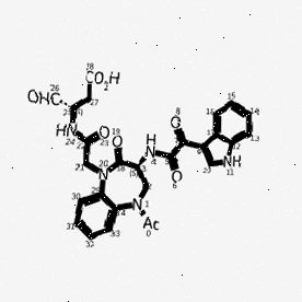 CC(=O)N1C[C@H](NC(=O)C(=O)c2c[nH]c3ccccc23)C(=O)N(CC(=O)N[C@H](C=O)CC(=O)O)c2ccccc21